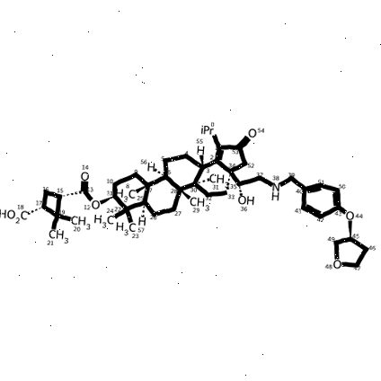 CC(C)C1=C2[C@H]3CC[C@@H]4[C@@]5(C)CC[C@H](OC(=O)[C@H]6C[C@@H](C(=O)O)C6(C)C)C(C)(C)[C@@H]5CC[C@@]4(C)[C@]3(C)CC[C@@]2([C@@H](O)CNCc2ccc(O[C@H]3CCOC3)cc2)CC1=O